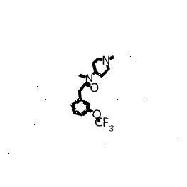 CN1CCC(N(C)C(=O)Cc2cccc(OC(F)(F)F)c2)CC1